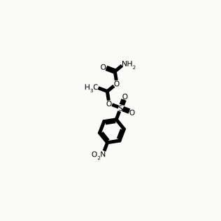 CC(OC(N)=O)OS(=O)(=O)c1ccc([N+](=O)[O-])cc1